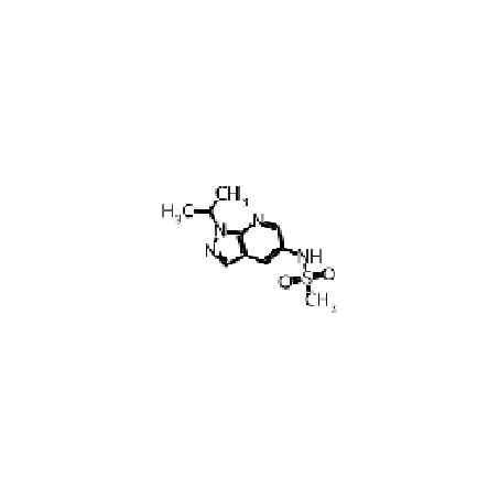 CC(C)n1ncc2cc(NS(C)(=O)=O)cnc21